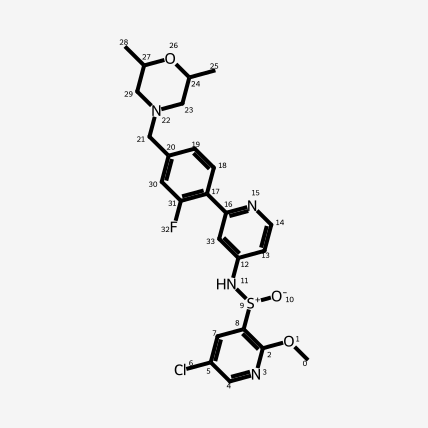 COc1ncc(Cl)cc1[S+]([O-])Nc1ccnc(-c2ccc(CN3CC(C)OC(C)C3)cc2F)c1